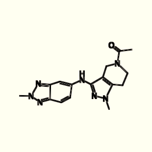 CC(=O)N1CCc2c(c(Nc3ccc4nn(C)nc4c3)nn2C)C1